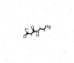 O=C(F)CC(=O)NC[CH2][Hg]